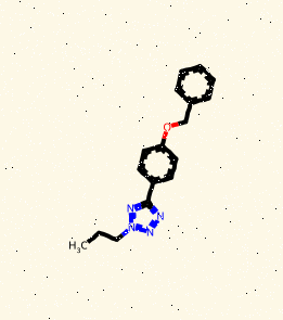 CCCn1nnc(-c2ccc(OCc3ccccc3)cc2)n1